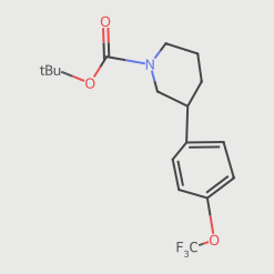 CC(C)(C)OC(=O)N1CCCC(c2ccc(OC(F)(F)F)cc2)C1